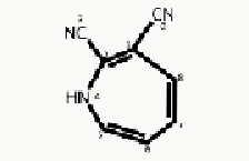 N#CC1=C(C#N)NC=CC=C1